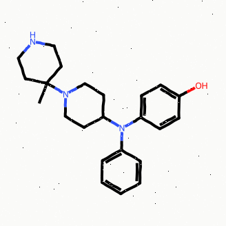 CC1(N2CCC(N(c3ccccc3)c3ccc(O)cc3)CC2)CCNCC1